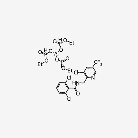 CCO[PH](=O)[O][Al]([O][PH](=O)OCC)[O][PH](=O)OCC.O=C(NCc1ncc(C(F)(F)F)cc1Cl)c1c(Cl)cccc1Cl